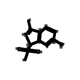 Cc1nn(S(C)(=O)=O)c2cc(Br)ccc12